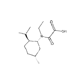 CCN(C(=O)C(=O)O)[C@@H]1C[C@H](C)CC[C@H]1C(C)C